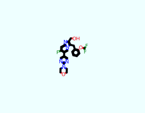 OCc1nc2cc(F)c(-c3cnc(N4CCOCC4)nc3)cn2c1Cc1ccccc1OC(F)F